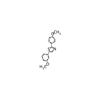 COc1ccc(-c2ncc(-c3cccc(OC)c3)s2)cc1